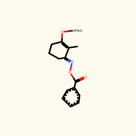 CCCCCOC1=C(C)C(=NOC(=O)c2ccccc2)CCC1